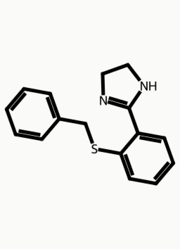 c1ccc(CSc2ccccc2C2=NCCN2)cc1